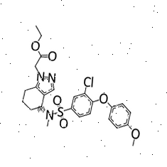 CCOC(=O)Cn1ncc2c1CCC[C@H]2N(C)S(=O)(=O)c1ccc(Oc2ccc(OC)cc2)c(Cl)c1